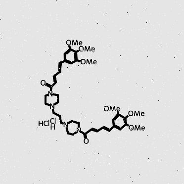 COc1cc(C=CC=CC(=O)N2CCN(CCCN3CCN(C(=O)C=CC=Cc4cc(OC)c(OC)c(OC)c4)CC3)CC2)cc(OC)c1OC.Cl.Cl